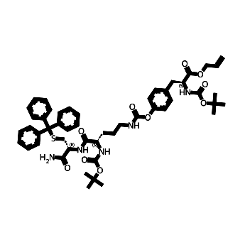 C=CCOC(=O)[C@H](Cc1ccc(OC(=O)NCCC[C@H](NC(=O)OC(C)(C)C)C(=O)N[C@@H](CSC(c2ccccc2)(c2ccccc2)c2ccccc2)C(N)=O)cc1)NC(=O)OC(C)(C)C